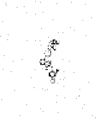 CC(C)(C)OC(=O)N1CCC(c2cccc3sc(Cc4ccc(Cl)cc4F)nc23)CC1